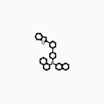 c1cc(-c2ccc(N(c3ccc4ccccc4c3)c3cccc4ccccc34)cc2)cc(-c2cc3ccccc3o2)c1